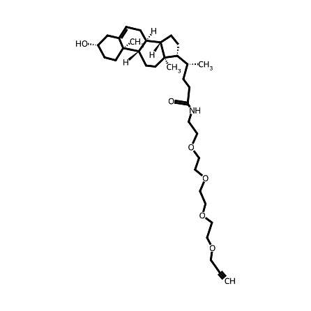 C#CCOCCOCCOCCOCCNC(=O)CC[C@@H](C)[C@H]1CC[C@H]2[C@@H]3CC=C4C[C@@H](O)CC[C@]4(C)[C@H]3CC[C@]12C